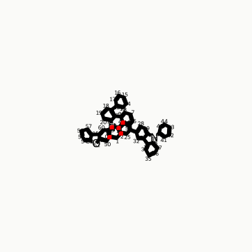 c1ccc(-c2ccccc2-c2c(-c3ccccc3)cccc2N(c2ccc(-c3ccc4c(c3)c3ccccc3n4-c3ccccc3)cc2)c2ccc3oc4ccccc4c3c2)cc1